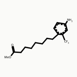 COC(=O)CCCCCCCc1ccc(N)cc1C(F)(F)F